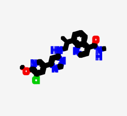 CNC(=O)c1ccnc2c([C@H](C)CNc3cc(-c4cnc(OC)c(Cl)c4)ncn3)cccc12